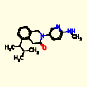 CNc1ccc(N2Cc3cccc(C(C)C(C)C)c3CC2=O)cn1